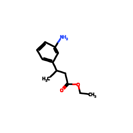 CCOC(=O)CC(C)c1cccc(N)c1